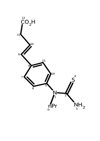 CCCN(C(N)=S)c1ccc(C=CCC(=O)O)cc1